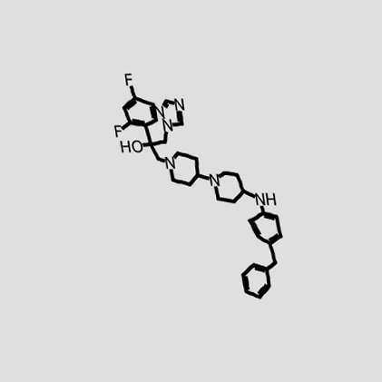 OC(CN1CCC(N2CCC(Nc3ccc(Cc4ccccc4)cc3)CC2)CC1)(Cn1cncn1)c1ccc(F)cc1F